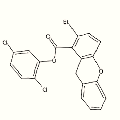 CCc1ccc2c(c1C(=O)Oc1cc(Cl)ccc1Cl)Cc1ccccc1O2